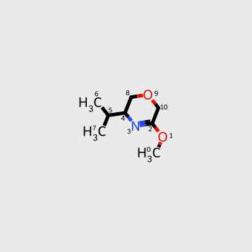 COC1=NC(C(C)C)COC1